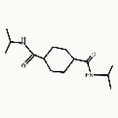 CC(C)NC(=O)C1CCC(C(=O)NC(C)C)CC1